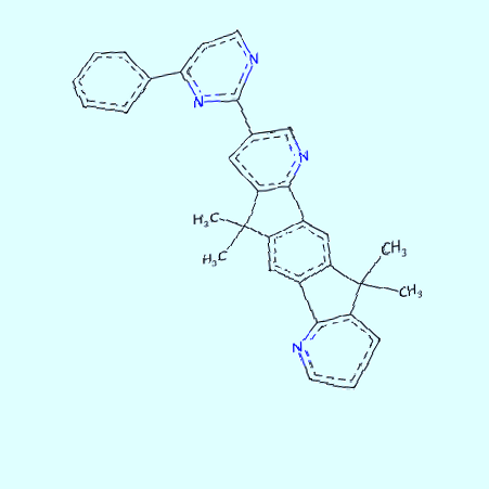 CC1(C)c2cc3c(cc2-c2ncccc21)C(C)(C)c1cc(-c2nccc(-c4ccccc4)n2)cnc1-3